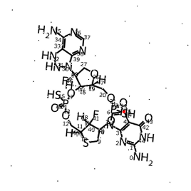 Nc1nc2c(ncn2[C@@]23CS[C@H](COP(=O)(S)O[C@@H]4[C@@H](COP(=O)(S)O2)OC[C@]4(F)N2NNc4c(N)ncnc42)[C@@H]3F)c(=O)[nH]1